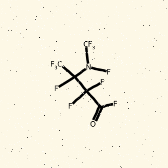 O=C(F)C(F)(F)C(F)(N(F)C(F)(F)F)C(F)(F)F